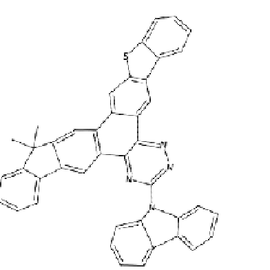 CC1(C)c2ccccc2-c2cc3c(cc21)c1cc2sc4ccccc4c2cc1c1nnc(-n2c4ccccc4c4ccccc42)nc31